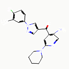 Nc1cnc(N2CCCCC2)cc1C(=O)c1cnn(-c2ccc(Cl)c(C(F)(F)F)c2)c1